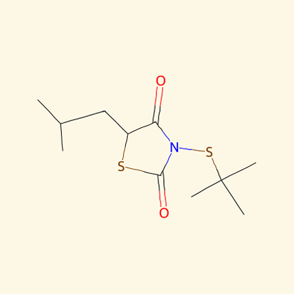 CC(C)CC1SC(=O)N(SC(C)(C)C)C1=O